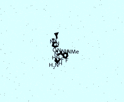 CNc1cc(F)c(F)c2c1[nH]c1nc(Oc3cnc4c(c3)ncn4CC3CC3)nc(N3C[C@H]4C[C@@H]3C[C@H]4N)c12